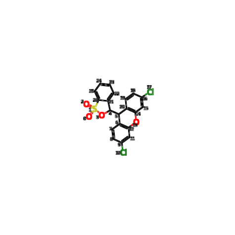 O=S1(=O)OC(C2c3ccc(Cl)cc3Oc3cc(Cl)ccc32)c2ccccc21